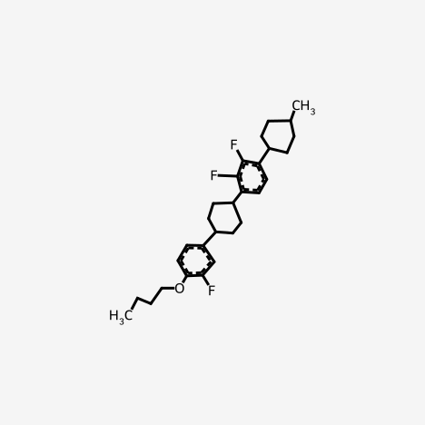 CCCCOc1ccc(C2CCC(c3ccc(C4CCC(C)CC4)c(F)c3F)CC2)cc1F